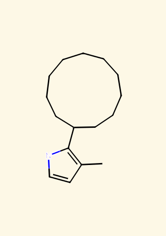 CC1=C(C2CCCCCCCCCC2)[N]C=C1